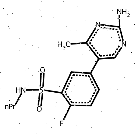 CCCNS(=O)(=O)c1cc(-c2cnc(N)nc2C)ccc1F